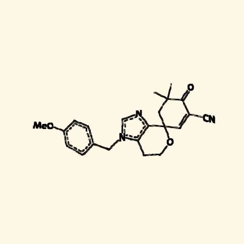 COc1ccc(Cn2cnc3c2CCOC32C=C(C#N)C(=O)C(C)(C)C2)cc1